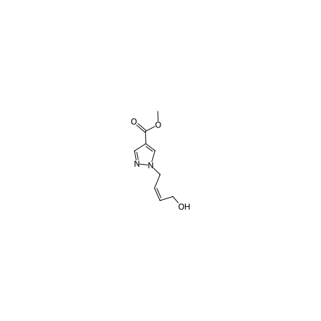 COC(=O)c1cnn(C/C=C\CO)c1